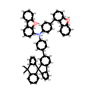 CC1(C)c2ccccc2C2(c3ccccc3-c3ccc(-c4ccc(N(c5ccc(-c6cccc7oc8ccccc8c67)cc5)c5cccc6c5oc5ccccc56)cc4)cc32)c2ccccc21